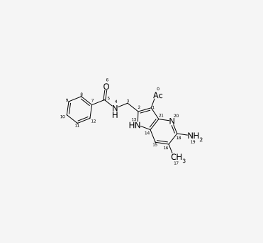 CC(=O)c1c(CNC(=O)c2ccccc2)[nH]c2cc(C)c(N)nc12